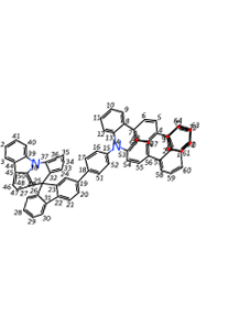 c1ccc(-c2ccc(-c3ccccc3N(c3ccc(-c4ccc5c(c4)C4(c6ccccc6-5)c5ccccc5-n5c6ccccc6c6cccc4c65)cc3)c3ccc(-c4cccc5ccccc45)cc3)cc2)cc1